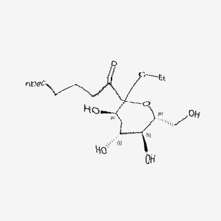 CCCCCCCCCCCCCC(=O)C1(OCC)O[C@H](CO)[C@@H](O)[C@H](O)[C@H]1O